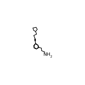 NCCCc1cccc(C#CCCC2CCCC2)c1